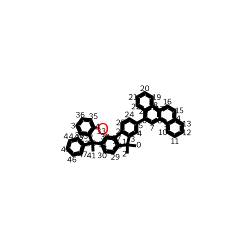 CC1(C)c2cc(-c3cc4c5ccccc5ccc4c4ccccc34)ccc2-c2c1ccc1c2Oc2ccccc2C1(C)c1ccccc1